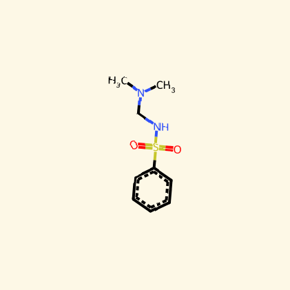 CN(C)CNS(=O)(=O)c1ccccc1